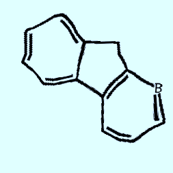 b1cccc2c1Cc1ccccc1-2